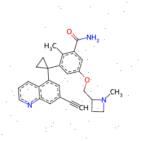 C#Cc1cc(C2(c3cc(OCC4CCN4C)cc(C(N)=O)c3C)CC2)c2cccnc2c1